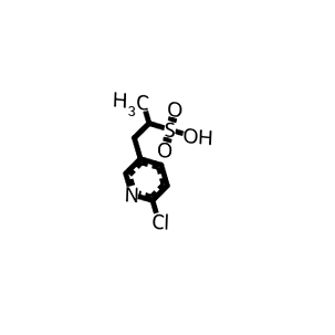 CC(Cc1ccc(Cl)nc1)S(=O)(=O)O